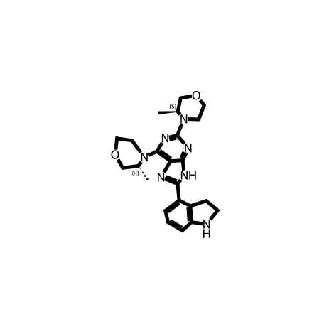 C[C@@H]1COCCN1c1nc(N2CCOC[C@@H]2C)nc2[nH]c(-c3cccc4c3CCN4)nc12